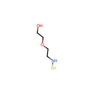 OCCOCCNS